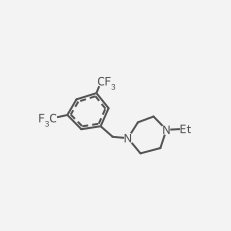 CCN1CCN(Cc2cc(C(F)(F)F)cc(C(F)(F)F)c2)CC1